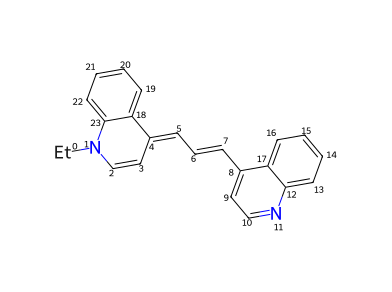 CCN1C=CC(=CC=Cc2ccnc3ccccc23)c2ccccc21